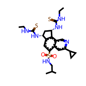 CCNC(=S)N[C@H]1C[C@@H](NC(=S)NCC)c2cc(S(=O)(=O)NCC(C)C)c3cc(C4CC4)ncc3c21